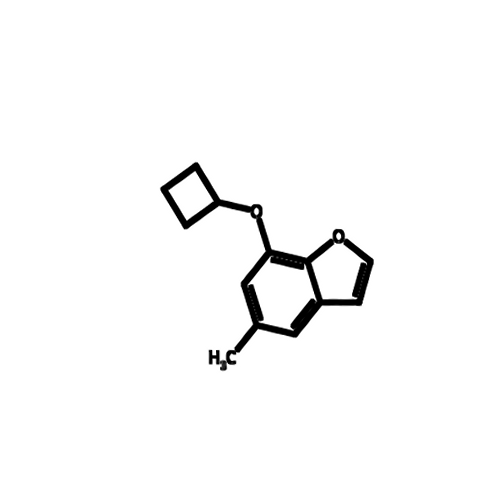 Cc1cc(OC2CCC2)c2occc2c1